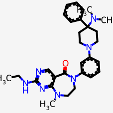 CCNc1ncc2c(n1)N(C)CCN(c1cccc(N3CCC(c4ccccc4)(N(C)C)CC3)c1)C2=O